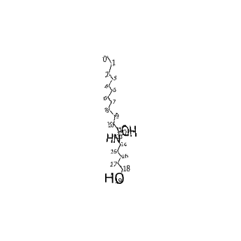 CCCCCCCCCCCC(O)NCCCCCO